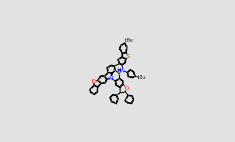 CC(C)(C)c1ccc(Nc2cc3sc4cc(C(C)(C)C)ccc4c3cc2-c2ccc3c4cc5oc6ccccc6c5cc4n4c3c2Bc2cc3c(cc2-4)C(c2ccccc2)C(c2ccccc2)O3)cc1